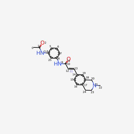 CC(=O)Nc1cccc(NC(=O)/C=C/c2ccc3c(c2)CN(C)CC3)c1